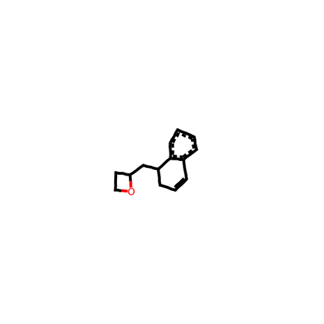 C1=Cc2ccccc2C(CC2CCO2)C1